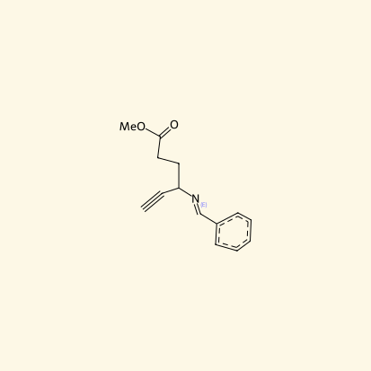 C#CC(CCC(=O)OC)/N=C/c1ccccc1